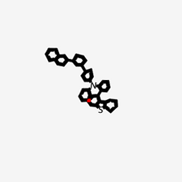 c1ccc(N(c2ccc(-c3cccc(-c4ccc5ccccc5c4)c3)cc2)c2ccccc2-c2cccc3sc4ccccc4c23)cc1